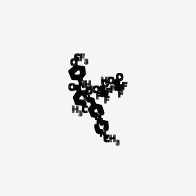 Cc1ccc(C(=O)Nc2ccc(OC(F)(F)F)cc2)c(=O)n1CC1=CCN(N2CCN(C)CC2)C=C1.O=C(O)C(F)(F)F.O=C(O)C(F)(F)F